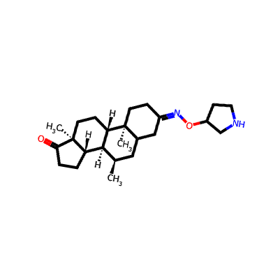 C[C@@H]1CC2CC(=NOC3CCNC3)CC[C@]2(C)[C@H]2CC[C@]3(C)C(=O)CC[C@H]3[C@H]12